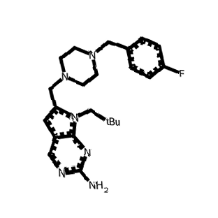 CC(C)(C)Cn1c(CN2CCN(Cc3ccc(F)cc3)CC2)cc2cnc(N)nc21